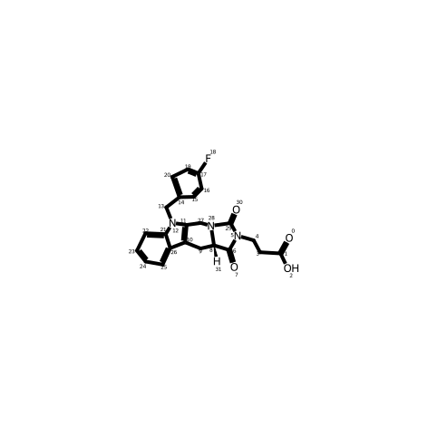 O=C(O)CCN1C(=O)[C@@H]2Cc3c(n(Cc4ccc(F)cc4)c4ccccc34)CN2C1=O